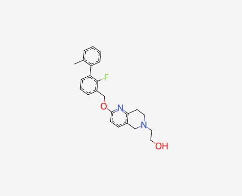 Cc1ccccc1-c1cccc(COc2ccc3c(n2)CCN(CCO)C3)c1F